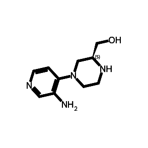 Nc1cnccc1N1CCN[C@H](CO)C1